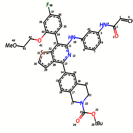 C=CC(=O)Nc1cccc(Nc2nc(-c3ccc4c(c3)CCN(C(=O)OC(C)(C)C)C4)c3ccsc3c2-c2ccc(F)cc2OCCOC)c1